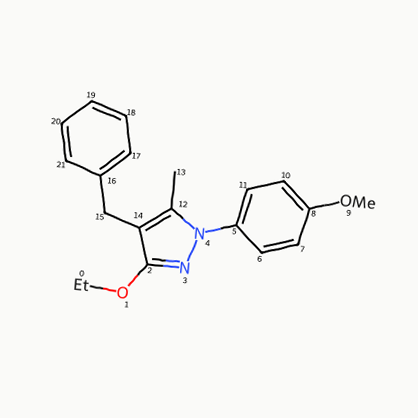 CCOc1nn(-c2ccc(OC)cc2)c(C)c1Cc1ccccc1